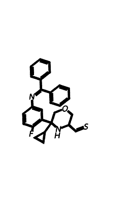 Fc1ccc(N=C(c2ccccc2)c2ccccc2)cc1C1(C2CC2)COCC(C=S)N1